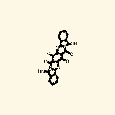 N=c1c2ccccc2c2nc3c(=O)c4c(=O)n5c(=N)c6ccccc6c5nc4c(=O)c3c(=O)n12